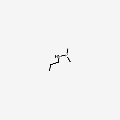 CCCNP(C)C